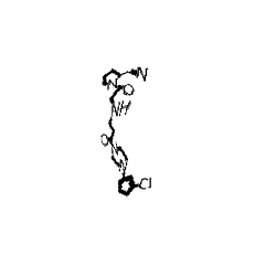 N#C[C@@H]1CCCN1C(=O)CNCCC(=O)N1CCN(c2cccc(Cl)c2)CC1